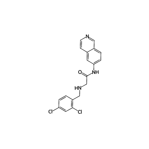 O=C(CNCc1ccc(Cl)cc1Cl)Nc1ccc2cnccc2c1